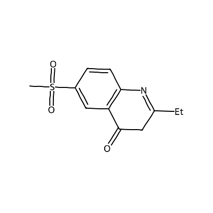 CCC1=Nc2ccc(S(C)(=O)=O)cc2C(=O)C1